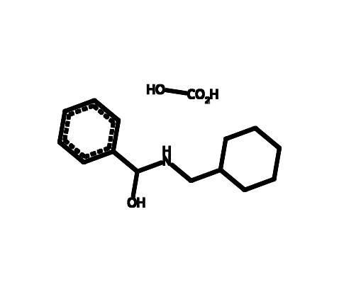 O=C(O)O.OC(NCC1CCCCC1)c1ccccc1